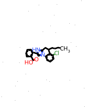 CCCCC(Cc1ncc(-c2ccccc2C(=O)O)[nH]1)c1ccccc1Cl